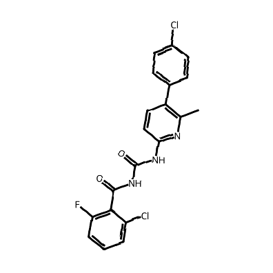 Cc1nc(NC(=O)NC(=O)c2c(F)cccc2Cl)ccc1-c1ccc(Cl)cc1